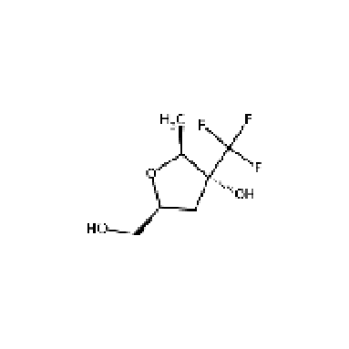 C[C@@H]1O[C@H](CO)C[C@]1(O)C(F)(F)F